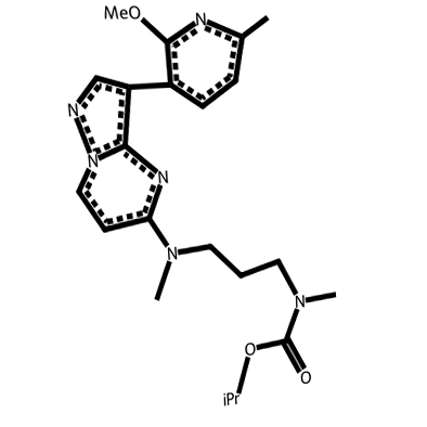 COc1nc(C)ccc1-c1cnn2ccc(N(C)CCCN(C)C(=O)OC(C)C)nc12